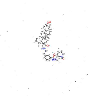 C=C(C)[C@@H]1CC[C@]2(C(=O)NCCc3cccc(C(=O)N[C@@H](C)c4cccc[n+]4[O-])c3)CC[C@]3(C)C(CCC4[C@@]5(C)CC[C@H](O)C(C)(C)C5CC[C@]43C)C12